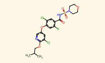 CC(C)COc1ncc(Oc2cc(F)c(C(=O)NS(=O)(=O)N3CCOCC3)cc2Cl)cc1Cl